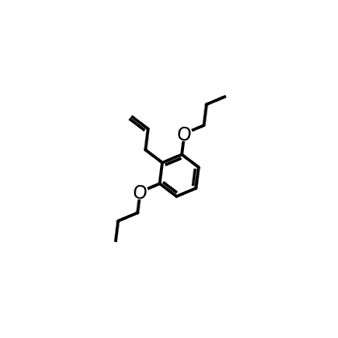 C=CCc1c(OCCC)cccc1OCCC